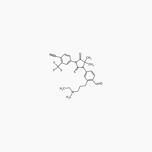 CCN(C)CCCc1cc(N2C(=S)N(c3ccc(C#N)c(C(F)(F)F)c3)C(=O)C2(C)C)ccc1C=O